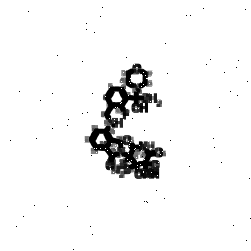 BC(O)(c1cccc(CNc2cccc3c2CN(C2(B)C(=O)NC(=O)C(O)(O)C2(B)O)C3=O)c1F)N1CCOCC1